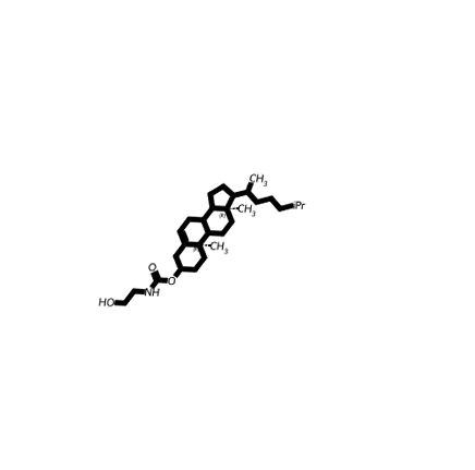 CC(C)CCCC(C)C1CCC2C3CC=C4CC(OC(=O)NCCO)CC[C@]4(C)C3CC[C@]12C